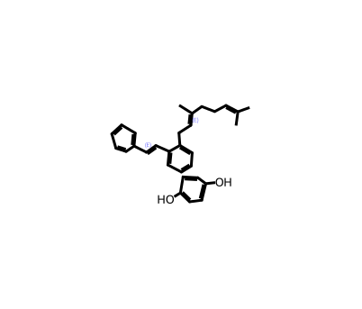 CC(C)=CCC/C(C)=C/Cc1ccccc1/C=C/c1ccccc1.Oc1ccc(O)cc1